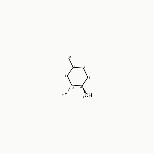 CC1CC[C@@H](O)[C@H](F)C1